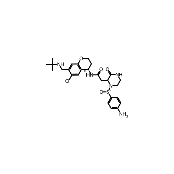 CC(C)(C)NCc1cc2c(cc1Cl)[C@H](NC(=O)CC1C(=O)NCCN1[S+]([O-])c1ccc(N)cc1)CCO2